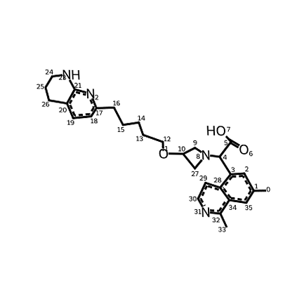 Cc1cc(C(C(=O)O)N2CC(OCCCCCc3ccc4c(n3)NCCC4)C2)c2ccnc(C)c2c1